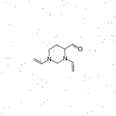 C=CN1CCC(C=O)N(C=C)C1